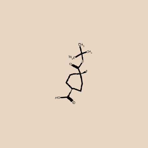 CC(C)(C)OC(=O)[C@]1(F)CC[C@@H](C(=O)O)CC1